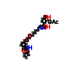 CC(=O)OCc1cc([C@@H](O)CNCCCCCCOCCOCc2cccc(NC(=O)OC3CCCC3)c2)ccc1O